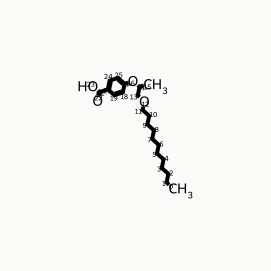 CCCCCCCCCCCCOCC(C)Oc1ccc(C(=O)O)cc1